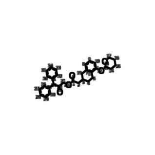 O=C(CC1CCc2c(cccc2OC2CCCCO2)C1)OCC(=O)C(c1ccccc1)c1ccccc1